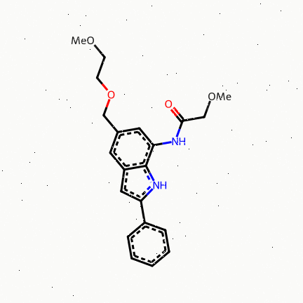 COCCOCc1cc(NC(=O)COC)c2[nH]c(-c3ccccc3)cc2c1